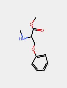 CNC(COc1ccccc1)C(=O)OC